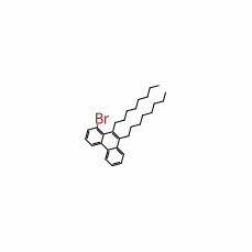 CCCCCCCCc1c(CCCCCCCC)c2c(Br)cccc2c2ccccc12